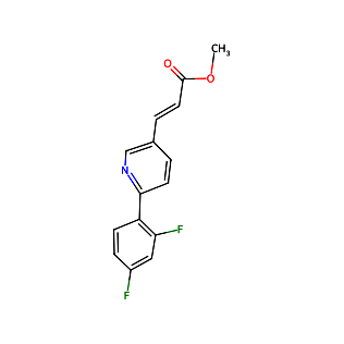 COC(=O)/C=C/c1ccc(-c2ccc(F)cc2F)nc1